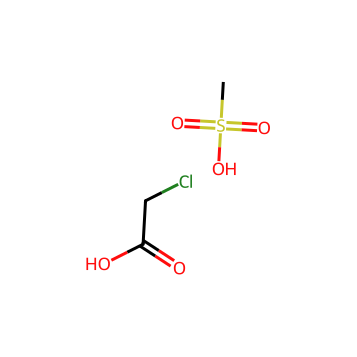 CS(=O)(=O)O.O=C(O)CCl